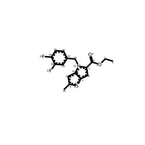 CCOC(=O)c1cc2sc(C)cc2n1Cc1ccc(F)c(F)c1